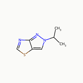 CC(C)n1cc2scnc2n1